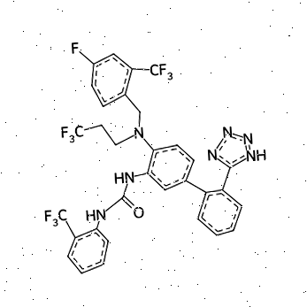 O=C(Nc1cc(-c2ccccc2-c2nnn[nH]2)ccc1N(CCC(F)(F)F)Cc1ccc(F)cc1C(F)(F)F)Nc1ccccc1C(F)(F)F